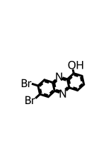 Oc1cccc2nc3cc(Br)c(Br)cc3nc12